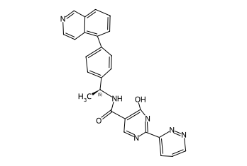 C[C@H](NC(=O)c1cnc(-c2cccnn2)nc1O)c1ccc(-c2cccc3cnccc23)cc1